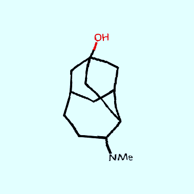 CNC1CCC2CC3CC(O)(C2)CC31